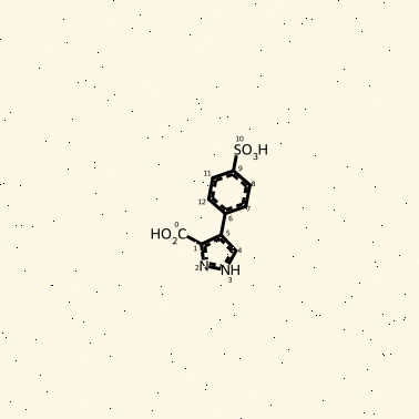 O=C(O)c1n[nH]cc1-c1ccc(S(=O)(=O)O)cc1